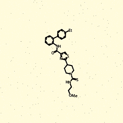 CCc1ccc(-c2ccccc2NC(=O)c2csc(C3CCN(C(=S)NCCOC)CC3)n2)cc1